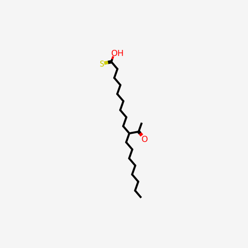 CCCCCCCCC(CCCCCCCCC(O)=S)C(C)=O